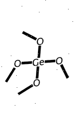 C[O][Ge]([O]C)([O]C)[O]C